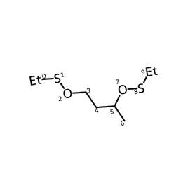 CCSOCCC(C)OSCC